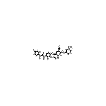 [C-]#[N+]c1cc2c(Oc3ccc(NC(=O)Nc4ccc(F)cc4)c(F)c3)ccnc2cc1OCC1CCCN(C)C1